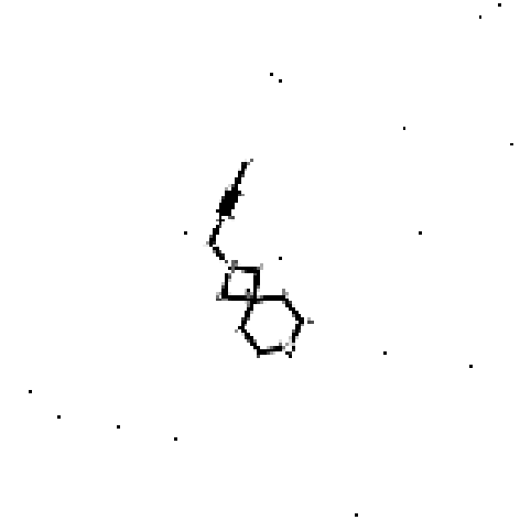 CC#CCN1CC2(CCOCC2)C1